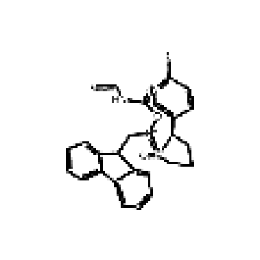 O=C(NC=S)O[N+](CC1c2ccccc2-c2ccccc21)=S1(=O)CCCC1c1ccc(Cl)nc1